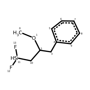 COC(Cc1ccccc1)C[SiH](F)F